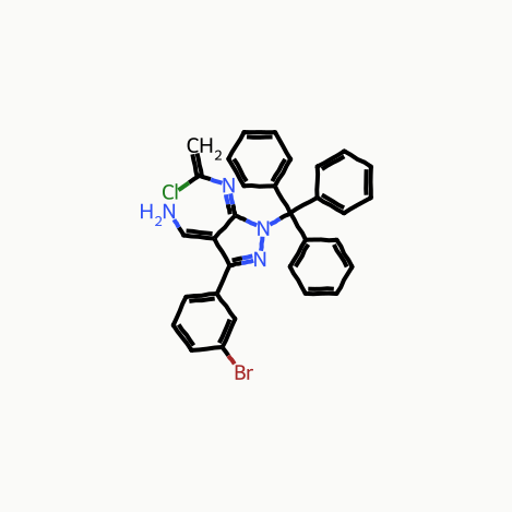 C=C(Cl)/N=C1\C(=C/N)C(c2cccc(Br)c2)=NN1C(c1ccccc1)(c1ccccc1)c1ccccc1